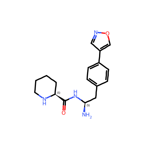 N[C@H](Cc1ccc(-c2cnoc2)cc1)NC(=O)[C@@H]1CCCCN1